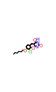 CCCCCCOc1ccc2cc3c(=O)[nH]c(=O)nc-3oc2c1Cl